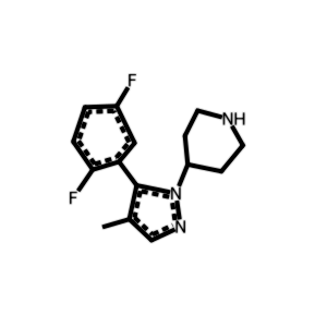 Cc1cnn(C2CCNCC2)c1-c1cc(F)ccc1F